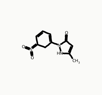 Cc1cc(=O)n(C2=CC=CC(=S(=O)=O)C2)[nH]1